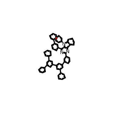 c1ccc(-c2cc(-c3ccccc3)cc(-c3cc(-c4ccccc4)cc(-c4cccc(-c5nc(-c6cccc(-c7ccccc7)c6)c6c(n5)c5ccccc5n6-c5ccccc5)c4)c3)c2)cc1